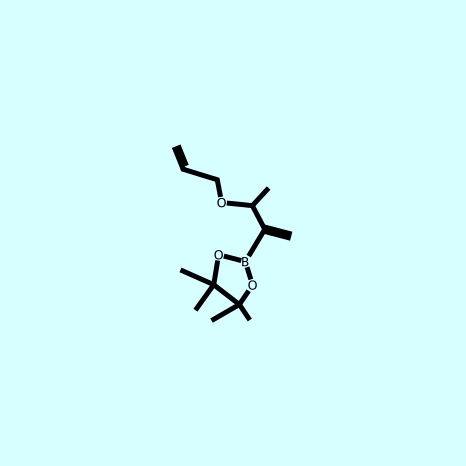 C=CCOC(C)C(=C)B1OC(C)(C)C(C)(C)O1